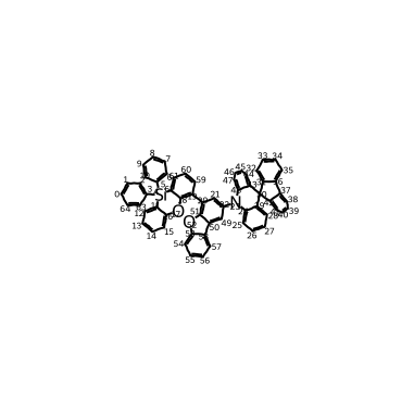 c1ccc([Si]2(c3ccccc3)c3ccccc3Oc3c(-c4cc(N5c6ccccc6C6(c7ccccc7-c7ccccc76)c6ccccc65)cc5c4oc4ccccc45)cccc32)cc1